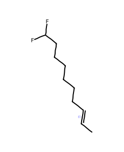 C/C=C/CCCCCCC(F)F